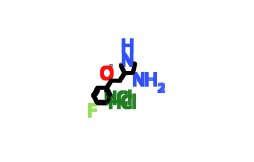 COC(CC1CNCC1N)c1ccc(F)cc1.Cl.Cl